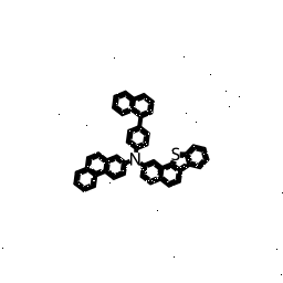 c1ccc2c(-c3ccc(N(c4ccc5c(ccc6ccccc65)c4)c4ccc5ccc6c7ccccc7sc6c5c4)cc3)cccc2c1